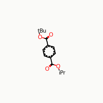 CC(C)OC(=O)c1ccc(C(=O)OC(C)(C)C)cc1